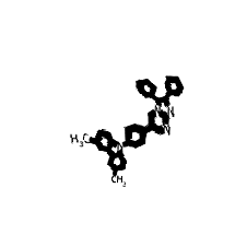 Cc1ccc2c(c1)c1cc(C)ccc1n2-c1ccc(-c2cnc3nc(-c4ccccc4)c(-c4ccccc4)n3c2)cc1